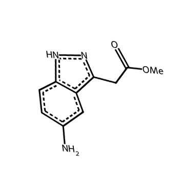 COC(=O)Cc1n[nH]c2ccc(N)cc12